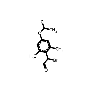 Cc1cc(OC(C)C)cc(C)c1C(Br)C=O